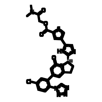 CN(C)C(=O)COC(=O)c1cc(-c2cnc([C@@H]3CCc4cc(-c5cc(Cl)ccc5-n5cnnn5)cc(=O)n43)[nH]2)cs1